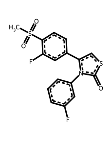 CS(=O)(=O)c1ccc(-c2csc(=O)n2-c2cccc(F)c2)cc1F